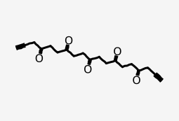 C#CCC(=O)CCC(=O)CCC(=O)CCC(=O)CCC(=O)CC#C